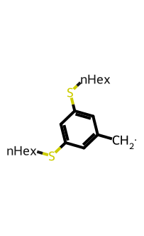 [CH2]c1cc(SCCCCCC)cc(SCCCCCC)c1